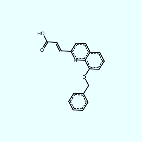 O=C(O)C=Cc1ccc2cccc(OCc3ccccc3)c2n1